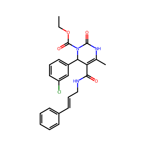 CCOC(=O)N1C(=O)NC(C)=C(C(=O)NC/C=C/c2ccccc2)C1c1cccc(Cl)c1